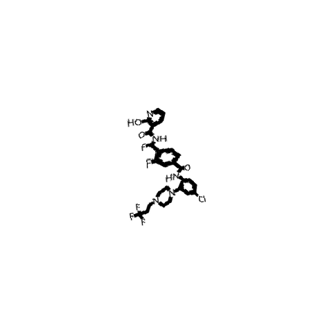 O=C(Nc1ccc(Cl)cc1N1CCN(CCC(F)(F)F)CC1)c1ccc(C(F)NC(=O)c2cccnc2O)c(F)c1